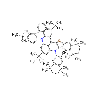 Cc1cc2c(cc1N1c3cc(C(C)(C)C)cc4c3B(c3cc(C(C)(C)C)ccc3N4c3ccc(C(C)(C)C)cc3-c3ccccc3)c3sc4cc5c(cc4c31)C(C)(C)CCC5(C)C)C(C)(C)CCC2(C)C